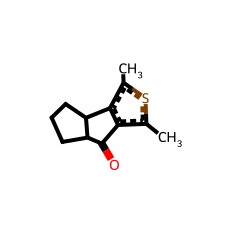 Cc1sc(C)c2c1C(=O)C1CCCC21